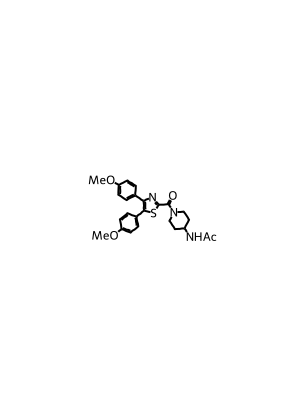 COc1ccc(-c2nc(C(=O)N3CCC(NC(C)=O)CC3)sc2-c2ccc(OC)cc2)cc1